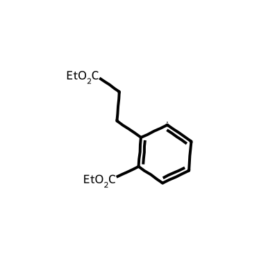 CCOC(=O)CCc1[c]cccc1C(=O)OCC